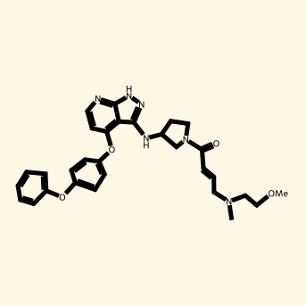 COCCN(C)CC=CC(=O)N1CCC(Nc2n[nH]c3nccc(Oc4ccc(Oc5ccccc5)cc4)c23)C1